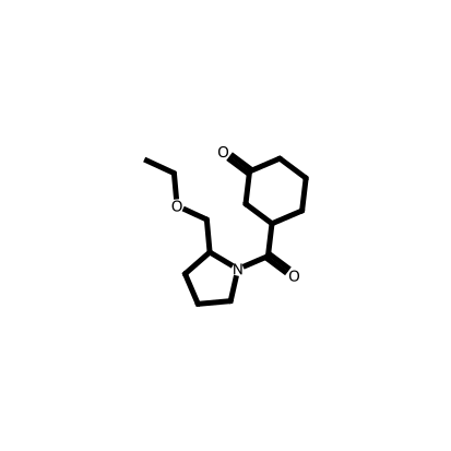 CCOCC1CCCN1C(=O)C1CCCC(=O)C1